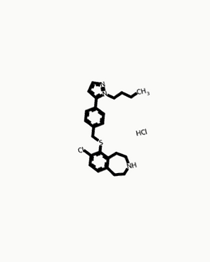 CCCCn1nccc1-c1ccc(CSc2c(Cl)ccc3c2CCNCC3)cc1.Cl